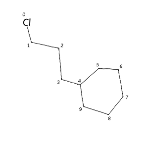 ClCCC[C]1CCCCC1